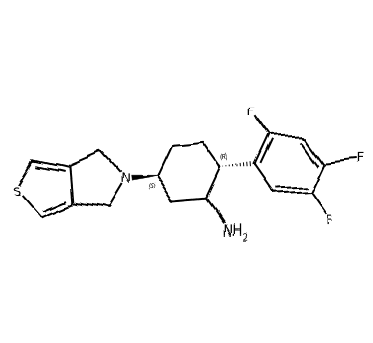 NC1C[C@@H](N2Cc3cscc3C2)CC[C@@H]1c1cc(F)c(F)cc1F